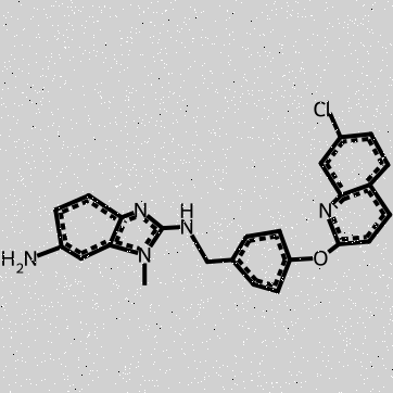 Cn1c(NCc2ccc(Oc3ccc4ccc(Cl)cc4n3)cc2)nc2ccc(N)cc21